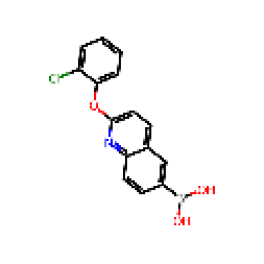 OB(O)c1ccc2nc(Oc3ccccc3Cl)ccc2c1